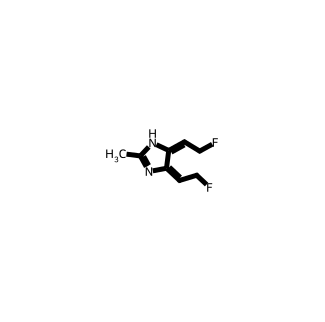 Cc1nc(=C/CF)/c(=C\CF)[nH]1